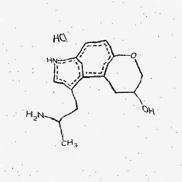 CC(N)Cc1c[nH]c2ccc3c(c12)CC(O)CO3.Cl